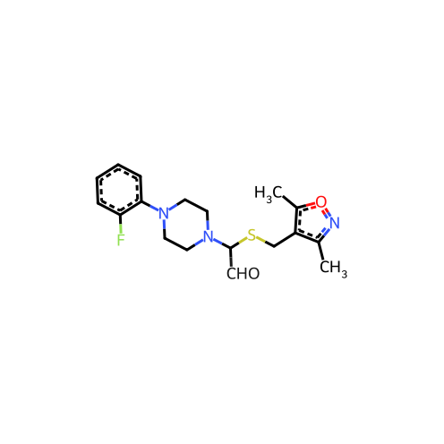 Cc1noc(C)c1CSC(C=O)N1CCN(c2ccccc2F)CC1